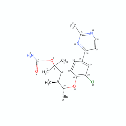 C[C@@H](CC(C)(C)OC(N)=O)[C@H](Oc1ccc(-c2ccnc(C(F)(F)F)n2)cc1Cl)C(C)(C)C